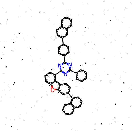 c1ccc(-c2nc(-c3ccc(-c4ccc5ccccc5c4)cc3)nc(-c3cccc4oc5cc(-c6cccc7ccccc67)ccc5c34)n2)cc1